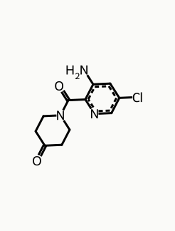 Nc1cc(Cl)cnc1C(=O)N1CCC(=O)CC1